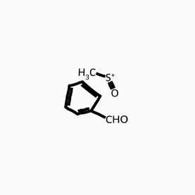 C[S+]=O.O=Cc1ccccc1